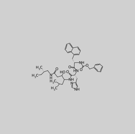 CC[C@H](C)CNC(=O)CC(O)C(CC(C)C)NC(=O)[C@@H](Cc1c[nH]cn1)NC(=O)[C@H](Cc1cccc2ccccc12)NC(=O)OCc1ccccc1